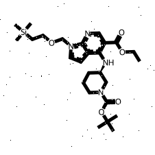 CCOC(=O)c1cnc2c(ccn2COCC[Si](C)(C)C)c1N[C@@H]1CCCN(C(=O)OC(C)(C)C)C1